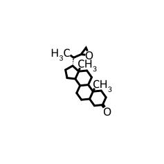 CC(C1CO1)[C@H]1CCC2C3CCC4CC(=O)CCC4(C)C3CCC21C